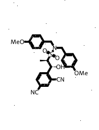 COc1ccc(CN(Cc2ccc(OC)cc2)S(=O)(=O)[C@H](C)[C@H](O)c2ccc(C#N)cc2C#N)cc1